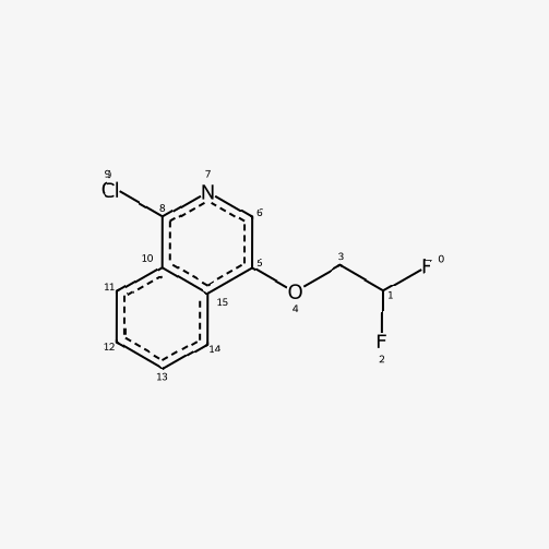 FC(F)COc1cnc(Cl)c2ccccc12